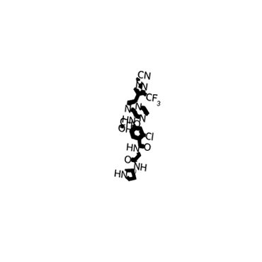 N#CCn1cc(-c2cnc3c(Nc4ccc(C(=O)NCC(=O)N[C@H]5CCNC5)c(Cl)c4)nccn23)c(C(F)(F)F)n1.O=CO